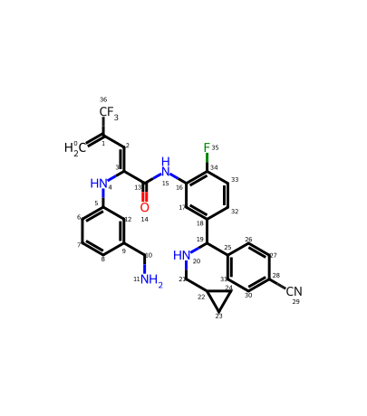 C=C(/C=C(\Nc1cccc(CN)c1)C(=O)Nc1cc(C(NCC2CC2)c2ccc(C#N)cc2)ccc1F)C(F)(F)F